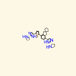 c1nc([C@@H]2CCCN2)[nH]c1-c1ccc(-c2ccc(-c3cnc([C@@H]4CCCN4)[nH]3)c3c2CC2(CCCC2)C3)s1